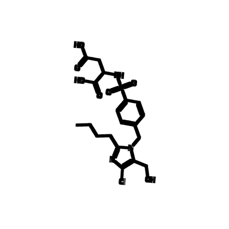 CCCCc1nc(Cl)c(CO)n1Cc1ccc(S(=O)(=O)NC(CC(=O)O)C(=O)O)cc1